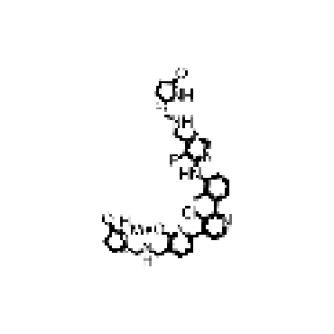 COc1nc(-c2ccnc(-c3cccc(Nc4ncnc(CNC[C@@H]5CCC(=O)N5)c4F)c3C)c2Cl)ccc1CNC[C@H]1CCC(=O)N1